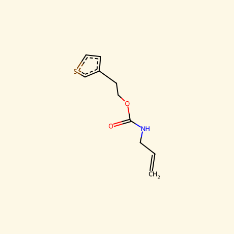 C=CCNC(=O)OCCc1ccsc1